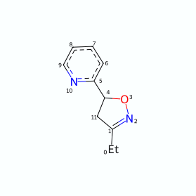 CCC1=NOC(c2ccccn2)C1